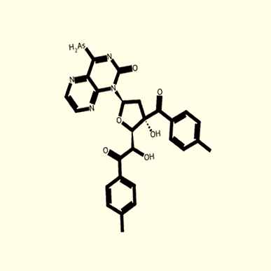 Cc1ccc(C(=O)C(O)[C@H]2O[C@@H](n3c(=O)nc([AsH2])c4nccnc43)C[C@@]2(O)C(=O)c2ccc(C)cc2)cc1